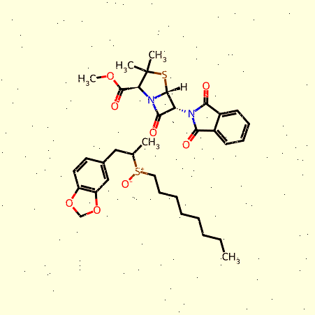 CCCCCCCC[S+]([O-])C(C)Cc1ccc2c(c1)OCO2.COC(=O)[C@@H]1N2C(=O)[C@@H](N3C(=O)c4ccccc4C3=O)[C@H]2SC1(C)C